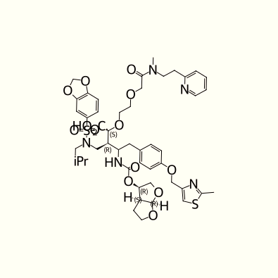 Cc1nc(COc2ccc(CC(NC(=O)O[C@H]3CO[C@H]4OCC[C@H]43)[C@@H](CN(CC(C)C)S(=O)(=O)c3ccc4c(c3)OCO4)[C@H](OCCOCC(=O)N(C)CCc3ccccn3)C(=O)O)cc2)cs1